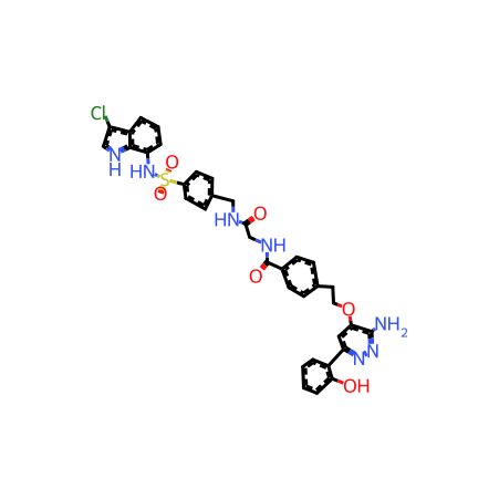 Nc1nnc(-c2ccccc2O)cc1OCCc1ccc(C(=O)NCC(=O)NCc2ccc(S(=O)(=O)Nc3cccc4c(Cl)c[nH]c34)cc2)cc1